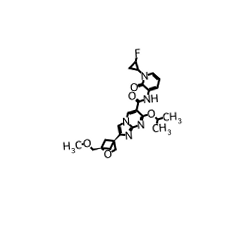 COC[C@]12C[C@](c3cn4cc(C(=O)Nc5cccn(C6CC6F)c5=O)c(OC(C)C)nc4n3)(CO1)C2